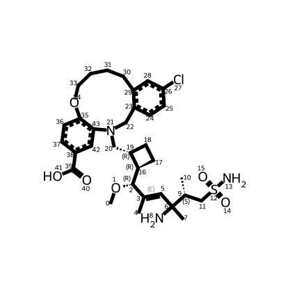 CO[C@@H](/C(C)=C/C(C)(N)[C@H](C)CS(N)(=O)=O)[C@@H]1CC[C@H]1CN1Cc2ccc(Cl)cc2CCCCOc2ccc(C(=O)O)cc21